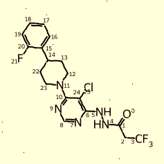 O=C(CC(F)(F)F)NNc1ncnc(N2CCC(c3ccccc3F)CC2)c1Cl